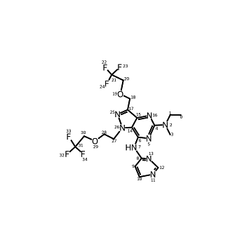 CCN(C)c1nc(Nc2ccncn2)c2c(n1)c(COCC(F)(F)F)nn2CCOCC(F)(F)F